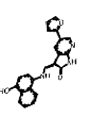 O=C1Nc2ncc(-c3ccco3)cc2/C1=C/Nc1ccc(O)c2ccccc12